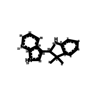 CC1(C)c2ccccc2NC1c1c[nH]c2ncccc12